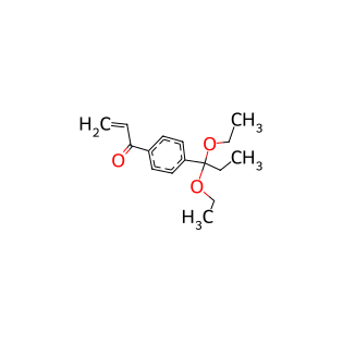 C=CC(=O)c1ccc(C(CC)(OCC)OCC)cc1